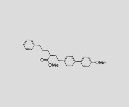 COC(=O)C(CCCc1ccccc1)CCc1ccc(-c2ccc(OC)cc2)cc1